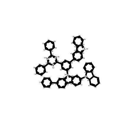 C1=CC2c3ccccc3N(c3ccc4c5ccc(-c6ccccc6)cc5n(-c5cc(-c6ccc7sc8ccccc8c7c6)cc(-c6nc(-c7ccccc7)nc(-c7ccccc7)n6)c5)c4c3)C2C=C1